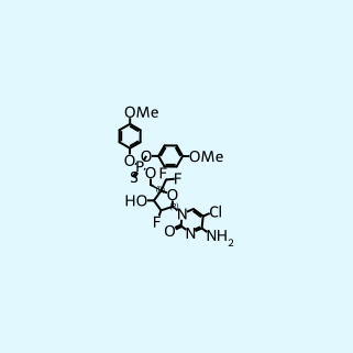 COc1ccc(OP(=S)(OC[C@@]2(C(F)F)O[C@@H](n3cc(Cl)c(N)nc3=O)C(F)C2O)Oc2ccc(OC)cc2)cc1